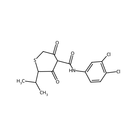 CC(C)C1SCC(=O)C(C(=O)Nc2ccc(Cl)c(Cl)c2)C1=O